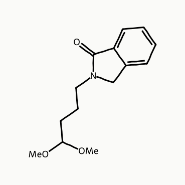 COC(CCCN1Cc2ccccc2C1=O)OC